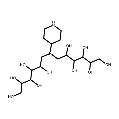 OCC(O)C(O)C(O)C(O)CN(CC(O)C(O)C(O)C(O)CO)C1CCNCC1